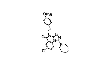 COc1ccc(CCn2c(=O)c3cc(Cl)ccc3n3c(N4CCCCCC4)nnc23)cc1